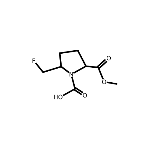 COC(=O)C1CCC(CF)N1C(=O)O